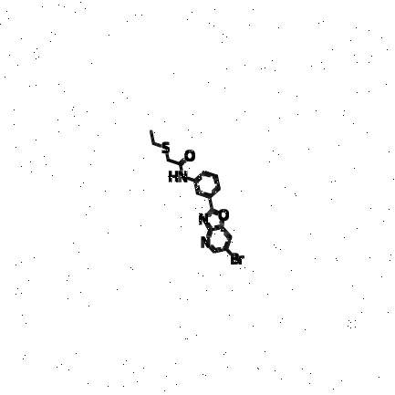 CCSCC(=O)Nc1cccc(-c2nc3ncc(Br)cc3o2)c1